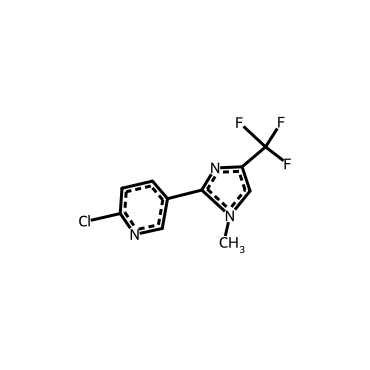 Cn1cc(C(F)(F)F)nc1-c1ccc(Cl)nc1